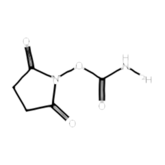 [2H]NC(=O)ON1C(=O)CCC1=O